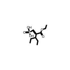 CCOC(=O)C(=CP(=O)(O)O)C(CC)CC